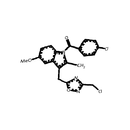 COc1ccc2c(c1)c(Cc1nc(CCl)no1)c(C)n2C(=O)c1ccc(Cl)cc1